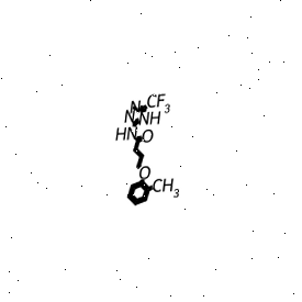 Cc1ccccc1OCCCC(=O)Nc1nnc(C(F)(F)F)[nH]1